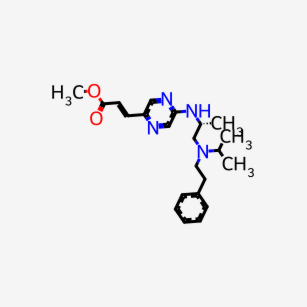 COC(=O)/C=C/c1cnc(N[C@H](C)CN(CCc2ccccc2)C(C)C)cn1